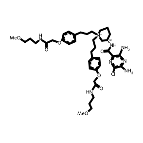 COCCCNC(=O)COc1ccc(CCC[N+]2(CCCc3ccc(OCC(=O)NCCCOC)cc3)CCC[C@H](NC(=O)c3nc(Cl)c(N)nc3N)C2)cc1